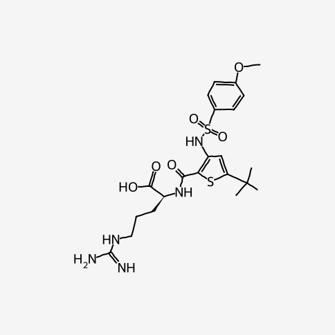 COc1ccc(S(=O)(=O)Nc2cc(C(C)(C)C)sc2C(=O)N[C@@H](CCCNC(=N)N)C(=O)O)cc1